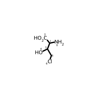 NC(C(=O)O)C(O)CCl